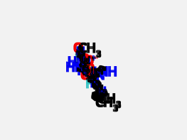 CC(=O)N1CCC(F)(CNc2c([N+](=O)[O-])cc(S(=O)(=O)NC(=O)c3cc(F)c(N4CCC5(CC4)CC(N4CCC[C@H]4c4ccccc4C(C)C)C5)cc3Oc3cnc4[nH]ccc4c3)c3nc[nH]c23)CC1